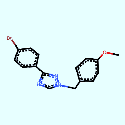 COc1ccc(Cn2cnc(-c3ccc(Br)cc3)n2)cc1